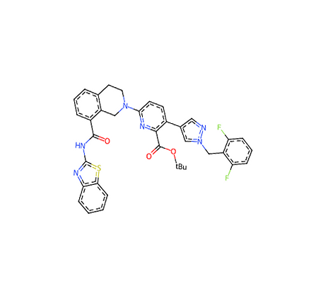 CC(C)(C)OC(=O)c1nc(N2CCc3cccc(C(=O)Nc4nc5ccccc5s4)c3C2)ccc1-c1cnn(Cc2c(F)cccc2F)c1